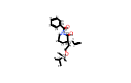 C=CC[C@]1(CCO[Si](C)(C)C(C)C)CCCN(C(=O)c2ccccc2)C1=O